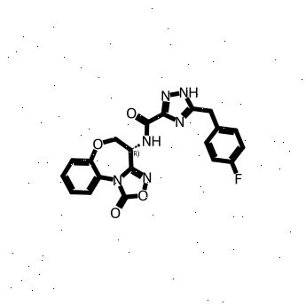 O=C(N[C@H]1COc2ccccc2-n2c1noc2=O)c1n[nH]c(Cc2ccc(F)cc2)n1